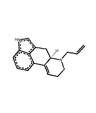 C=CCN1CCC=C2c3cccc4[nH]cc(c34)C[C@H]21